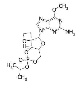 COc1nc(N)nc2c1ncn2C1OC2COP(=O)(OC(C)C)O[C@H]2[C@]12CCO2